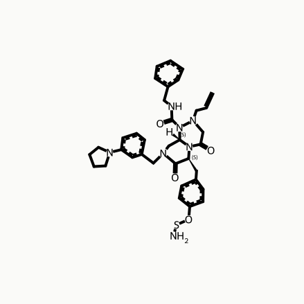 C=CCN1CC(=O)N2[C@@H](Cc3ccc(OSN)cc3)C(=O)N(Cc3cccc(N4CCCC4)c3)C[C@@H]2N1C(=O)NCc1ccccc1